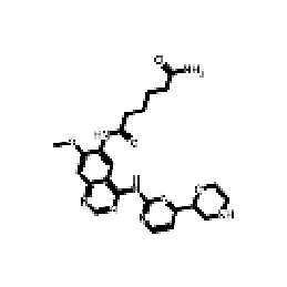 COc1cc2ncnc(Nc3nccc(C4CNCCO4)n3)c2cc1NC(=O)CCCCC(N)=O